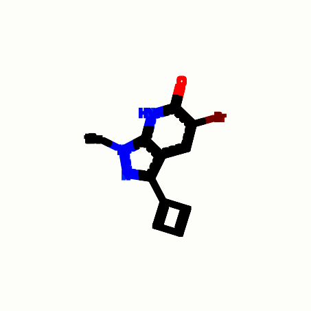 CC(C)(C)n1nc(C2=CC=C2)c2cc(Br)c(=O)[nH]c21